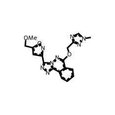 COCc1cc(-c2nnc3c4ccccc4c(OCc4ncn(C)n4)nn23)no1